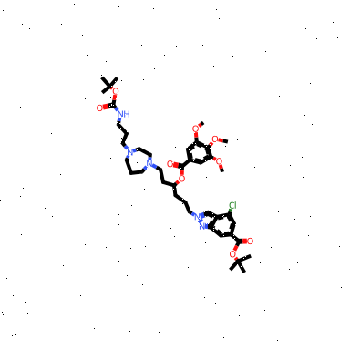 COc1cc(C(=O)OC(CCCn2cc3c(Cl)cc(C(=O)OC(C)(C)C)cc3n2)CCN2CCCN(CCCNC(=O)OC(C)(C)C)CC2)cc(OC)c1OC